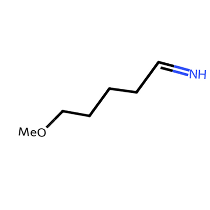 COCCCCC=N